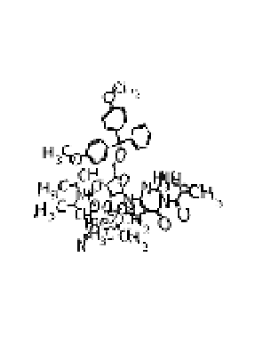 COc1ccc(C(OC[C@H]2O[C@@H](n3cnc4c(=O)n(C(=O)C(C)C)c(N)nc43)[C@H](O[Si](C)(C)C(C)(C)C)[C@@H]2OP(OCCC#N)N(C(C)C)C(C)C)(c2ccccc2)c2ccc(OC)cc2)cc1